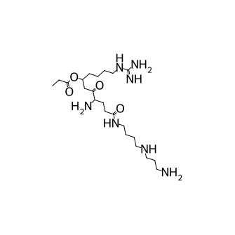 CCC(=O)OC(CCCCNC(=N)N)CC(=O)C(N)CCC(=O)NCCCCNCCCN